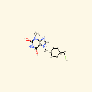 Cn1c(=O)[nH]c(=O)c2c1ncn2C[C@H]1CC[C@H](CF)CC1